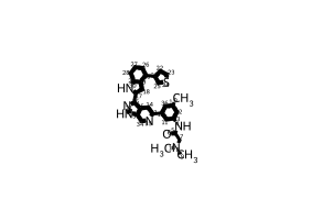 Cc1cc(NC(=O)CN(C)C)cc(-c2cc3c(-c4cc5c(-c6ccsc6)cccc5[nH]4)n[nH]c3cn2)c1